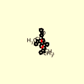 CC1(C)c2ccccc2-c2ccc(-c3ccccc3N(c3ccc(-c4ccc5c(c4)oc4ccccc45)cc3)c3ccccc3-c3cccc4c3-c3ccccc3C4(C)C)cc21